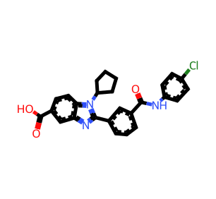 O=C(O)c1ccc2c(c1)nc(-c1cccc(C(=O)Nc3ccc(Cl)cc3)c1)n2C1CCCC1